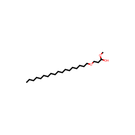 CCCCCCCCCCCCCCCCCCOCCC(O)OC